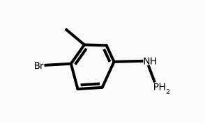 Cc1cc(NP)ccc1Br